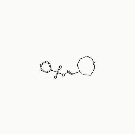 O=S(=O)(ON=CC1CCCCCCCC1)c1ccccc1